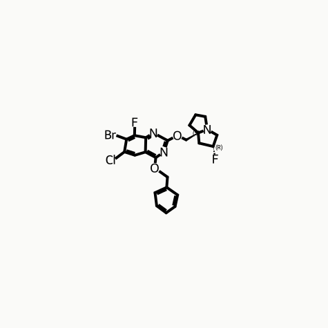 Fc1c(Br)c(Cl)cc2c(OCc3ccccc3)nc(OC[C@@]34CCCN3C[C@H](F)C4)nc12